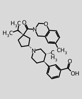 Cc1ccc2c(c1)CN(C(=O)[C@@]1(C(C)C)CC[C@@H](N3CC[C@H](c4cccc(C(=O)O)c4)[C@@H](C)C3)C1)CO2